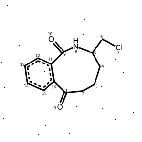 O=C1CCCC(CCl)NC(=O)c2ccccc21